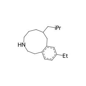 CCc1ccc2c(c1)CC(CC(C)C)CCCNCC2